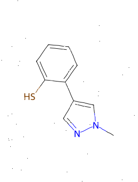 Cn1cc(-c2ccccc2S)cn1